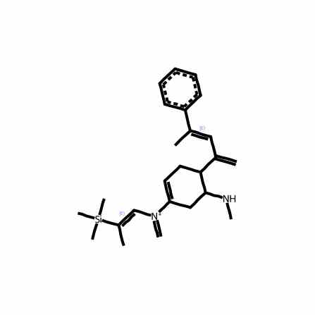 C=C(/C=C(\C)c1ccccc1)C1CC=C([N+](=C)/C=C(\C)[Si](C)(C)C)CC1NC